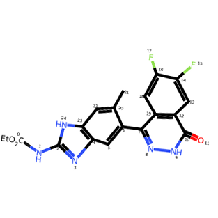 CCOC(=O)Nc1nc2cc(-c3n[nH]c(=O)c4cc(F)c(F)cc34)c(C)cc2[nH]1